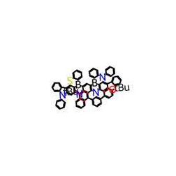 CC(C)(C)c1ccc(-c2cccc(-c3ccc(C(C)(C)C)cc3)c2N2c3cc4c(cc3B3c5ccccc5N(c5ccccc5)c5c3c2cc2oc3ccccc3c52)B2c3ccccc3Sc3c2c(cc2c3c3ccccc3n2-c2ccccc2)N4c2ccccc2)cc1